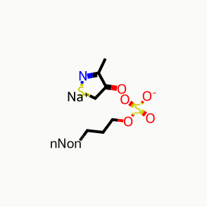 CC1=NSCC1=O.CCCCCCCCCCCCOS(=O)(=O)[O-].[Na+]